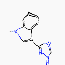 Cn1cc(-c2nc[nH]n2)c2ccccc21